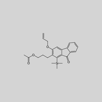 C=CCOc1cc2c(c([Si](C)(C)C)c1CCCOC(C)=O)C(=O)c1ccccc1-2